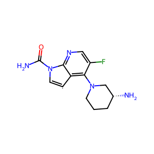 NC(=O)n1c[c]c2c(N3CCC[C@@H](N)C3)c(F)cnc21